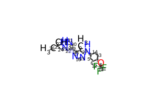 Cc1c(Nc2ccc(OC(F)(F)F)cc2)ncnc1/C(C=N)=C/NCC(C)C